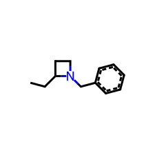 CCC1CCN1Cc1ccccc1